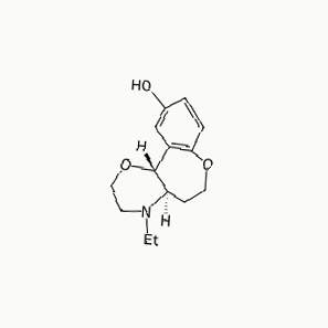 CCN1CCO[C@@H]2c3cc(O)ccc3OCC[C@H]21